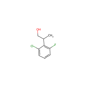 CC(CO)c1c(F)cccc1Cl